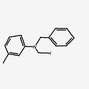 Cc1cccc(N(CI)Cc2ccccc2)c1